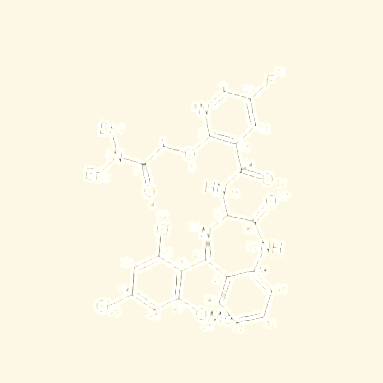 CCN(CC)C(=O)COc1ncc(F)cc1C(=O)NC1N=C(c2c(Cl)cc(Cl)cc2OC)c2ccccc2NC1=O